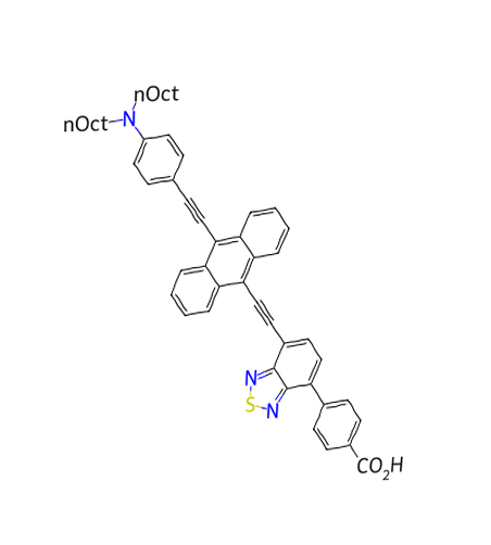 CCCCCCCCN(CCCCCCCC)c1ccc(C#Cc2c3ccccc3c(C#Cc3ccc(-c4ccc(C(=O)O)cc4)c4nsnc34)c3ccccc23)cc1